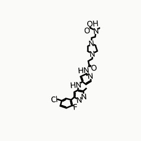 Cc1nnc(-c2cc(Cl)ccc2F)cc1Nc1ccnc(NC(=O)CCN2CCN(CCN(C)C(=O)O)CC2)c1